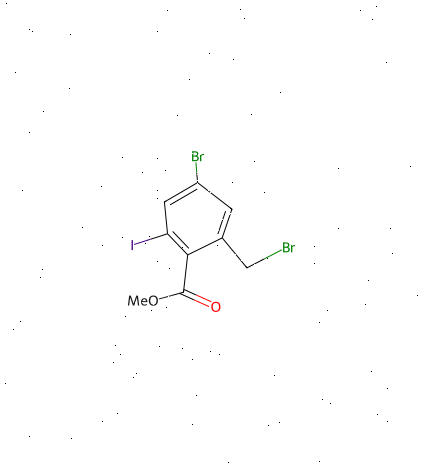 COC(=O)c1c(I)cc(Br)cc1CBr